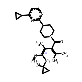 C=N/C(NC1(C)CC1)=C(\C)C(C(=O)N1CCC(c2nccc(C3CC3)n2)CC1)=C(C)C